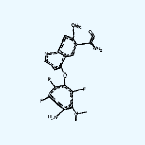 COc1cc2nccc(Oc3c(F)c(F)c(N)c(N(C)C)c3F)c2cc1C(N)=O